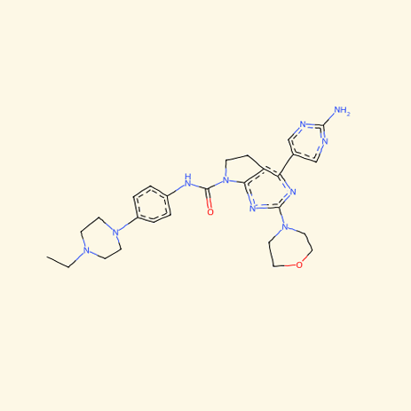 CCN1CCN(c2ccc(NC(=O)N3CCc4c(-c5cnc(N)nc5)nc(N5CCOCC5)nc43)cc2)CC1